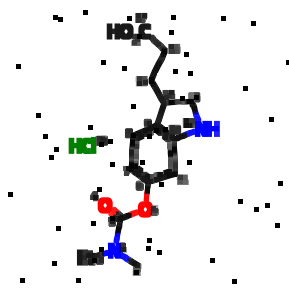 CCN(C)C(=O)Oc1ccc2c(c1)NCC2CCC(=O)O.Cl